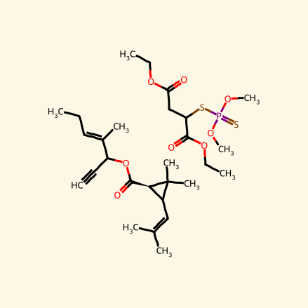 C#CC(OC(=O)[C@@H]1C(C=C(C)C)C1(C)C)/C(C)=C/CC.CCOC(=O)CC(SP(=S)(OC)OC)C(=O)OCC